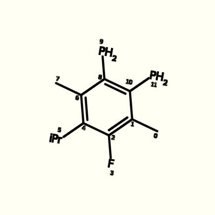 Cc1c(F)c(C(C)C)c(C)c(P)c1P